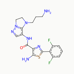 NCCCN1CCn2ncc(NC(=O)c3nc(-c4c(F)cccc4F)sc3N)c21